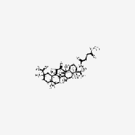 COC(=O)CCC(=O)N[C@H]1CC[C@@]2(C)[C@@H](CC[C@]3(C)[C@@H]2C(=O)C=C2[C@@H]4C[C@@](C)(C(=O)O)CC[C@]4(C)CC[C@]23C)[C@]1(C)C(=O)O